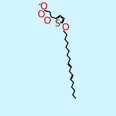 CCCCCC=CCC=CCCCCCCCCOc1ccc(C(=O)CC(=O)OC)s1